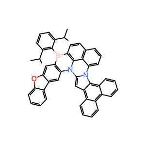 CC(C)c1cccc(C(C)C)c1B1c2cc3oc4ccccc4c3cc2-n2c3c1ccc1cccc(c13)n1c3c4ccccc4c4ccccc4c3cc21